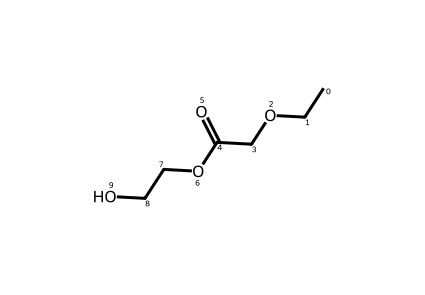 CCOCC(=O)OCCO